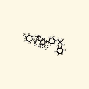 CCOC(=O)c1cn(-c2ccc(CC(C)(C)Cc3ccccc3)cc2)nc1N(C(=O)[C@H]1CC[C@H](C)CC1)C(C)C